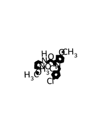 COc1ccc2c(c1)c(C(=O)C(=O)Nc1cccc(OC)n1)c(C)n2Cc1ccc(Cl)cc1